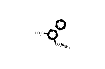 CN.O=C(O)c1cccc(C(=O)O)c1.c1ccccc1